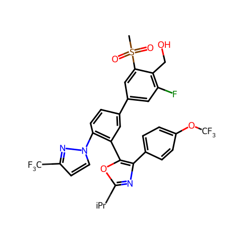 CC(C)c1nc(-c2ccc(OC(F)(F)F)cc2)c(-c2cc(-c3cc(F)c(CO)c(S(C)(=O)=O)c3)ccc2-n2ccc(C(F)(F)F)n2)o1